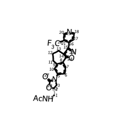 CC(=O)NC[C@H]1CN(c2ccc3c(c2)CCCc2c(-c4ccncc4C(F)(F)F)noc2-3)C(=O)O1